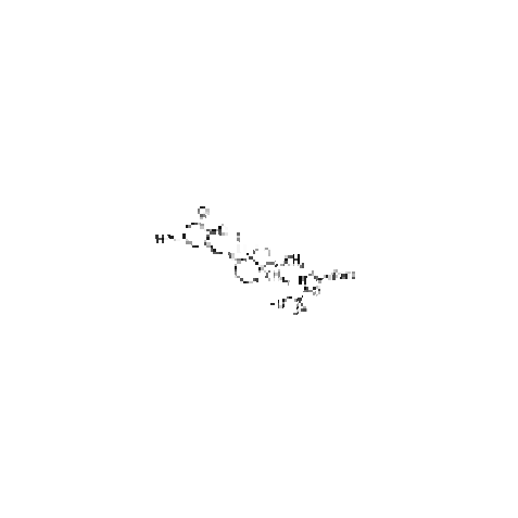 C=C1/C(=C\C=C2/CCC[C@]3(C)[C@@H]([C@@H](C)/C=C/[C@H](O)C4(c5ncc(CCCCC)o5)CC4)CC[C@@H]23)C[C@@H](O)C[C@@H]1O